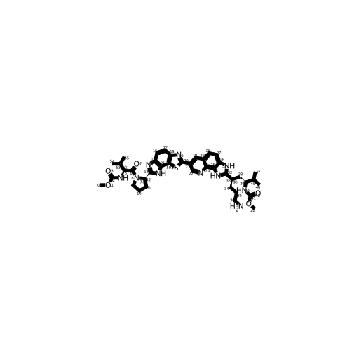 COC(=O)N[C@H](C(=O)N1CCC[C@H]1c1nc2ccc3nc(-c4cnc5c6c(ccc5c4)NC([C@H](CCCN)C[C@@H](NC(=O)OC)C(C)C)N6)sc3c2[nH]1)C(C)C